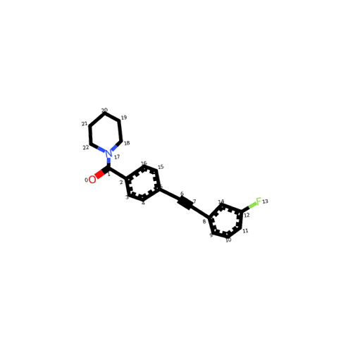 O=C(c1ccc(C#Cc2cccc(F)c2)cc1)N1CCCCC1